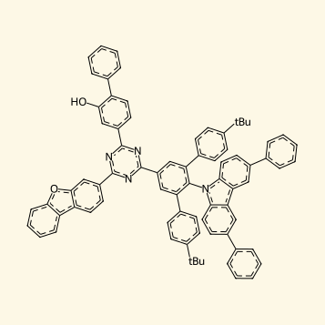 CC(C)(C)c1ccc(-c2cc(-c3nc(-c4ccc(-c5ccccc5)c(O)c4)nc(-c4ccc5c(c4)oc4ccccc45)n3)cc(-c3ccc(C(C)(C)C)cc3)c2-n2c3ccc(-c4ccccc4)cc3c3cc(-c4ccccc4)ccc32)cc1